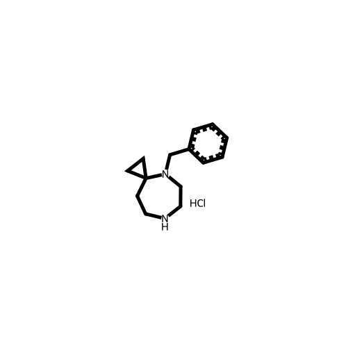 Cl.c1ccc(CN2CCNCCC23CC3)cc1